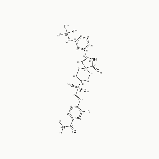 Cc1cc(C(=O)N(C)C)ccc1C=CS(=O)(=O)N1CCC2(CC1)N=C(c1cccc(OC(F)(F)F)c1)NC2=O